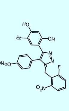 CCc1cc(-c2nnn(Cc3c(F)cccc3[N+](=O)[O-])c2-c2ccc(OC)cc2)c(O)cc1O